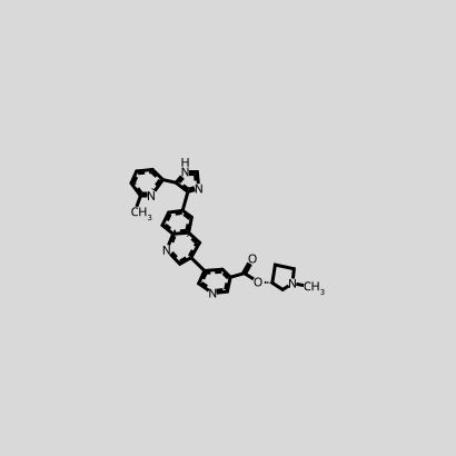 Cc1cccc(-c2[nH]cnc2-c2ccc3ncc(-c4cncc(C(=O)O[C@@H]5CCN(C)C5)c4)cc3c2)n1